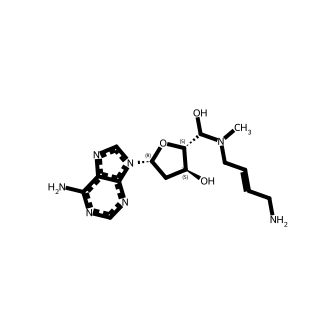 CN(CC=CCN)C(O)[C@H]1O[C@@H](n2cnc3c(N)ncnc32)C[C@@H]1O